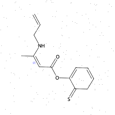 C=CCN/C(C)=C\C(=O)OC1=CC=CCC1=S